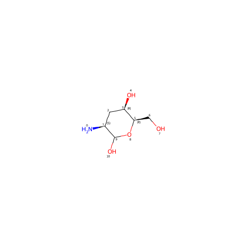 N[C@H]1C[C@@H](O)[C@@H](CO)OC1O